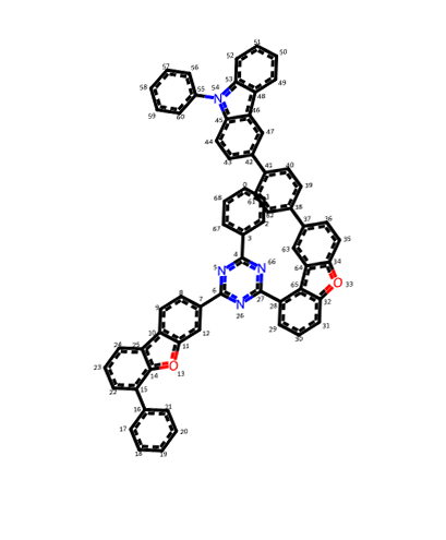 c1ccc(-c2nc(-c3ccc4c(c3)oc3c(-c5ccccc5)cccc34)nc(-c3cccc4oc5ccc(-c6ccc(-c7ccc8c(c7)c7ccccc7n8-c7ccccc7)cc6)cc5c34)n2)cc1